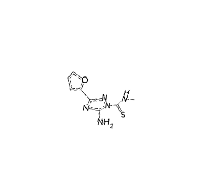 CNC(=S)n1nc(-c2ccco2)nc1N